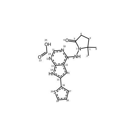 CC1(C)CCC(=O)N1Nc1ncnc2[nH]c(-c3cccs3)cc12.O=CO